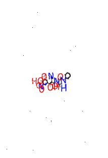 COc1cc(/C(O)=C(\C#N)C(=O)N(C)C(C(=O)Nc2ccccc2)C(C)(C)C)cc([N+](=O)[O-])c1O